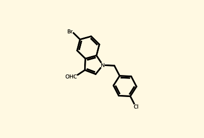 O=Cc1cn(Cc2ccc(Cl)cc2)c2ccc(Br)cc12